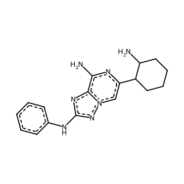 Nc1nc(C2CCCCC2N)cn2nc(Nc3ccccc3)nc12